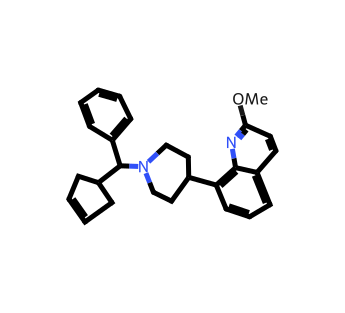 COc1ccc2cccc(C3CCN(C(c4ccccc4)C4CC=CC4)CC3)c2n1